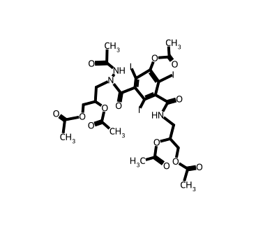 CC(=O)NN(CC(COC(C)=O)OC(C)=O)C(=O)c1c(I)c(OC(C)=O)c(I)c(C(=O)NCC(COC(C)=O)OC(C)=O)c1I